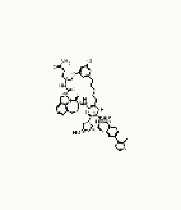 Cc1ncsc1-c1ccc([C@H](C)NC(=O)[C@@H]2C[C@@H](O)CN2C(=O)[C@@H](NC(=O)CCCCCc2cc(Cl)cc(OC[C@H](CCC(N)=O)NC(=O)[C@@H]3Cc4cccc5c4N3C(=O)[C@@H](N)CC5)c2)C(C)(C)C)cc1